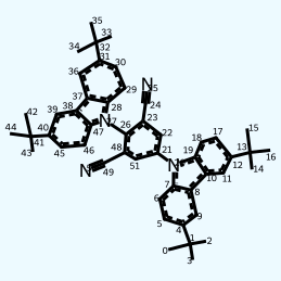 CC(C)(C)c1ccc2c(c1)c1cc(C(C)(C)C)ccc1n2-c1cc(C#N)c(-n2c3ccc(C(C)(C)C)cc3c3cc(C(C)(C)C)ccc32)c(C#N)c1